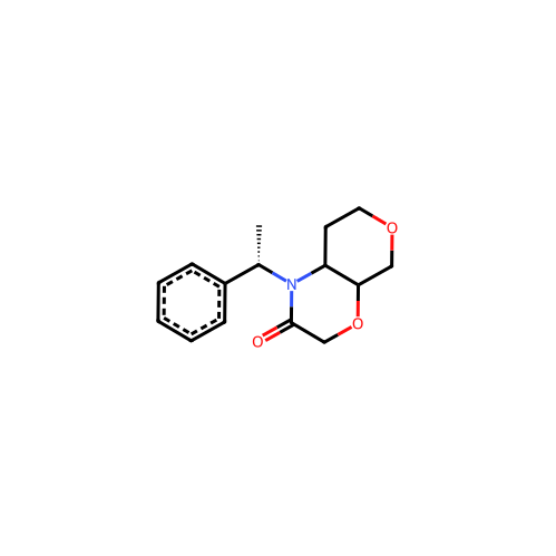 C[C@@H](c1ccccc1)N1C(=O)COC2COCCC21